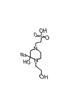 O=S(=O)(O)CCN1CCN(CCO)[C](O)([Na])C1